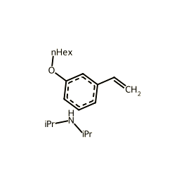 C=Cc1cccc(OCCCCCC)c1.CC(C)NC(C)C